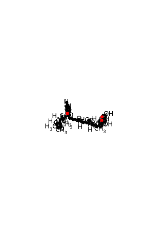 CC1=C(C)C(=O)C(C(C)(C)CC(=O)N(C)CCN(CCCCCC(=O)NCCCCC(NC(=O)CCC(C)[C@H]2CC[C@H]3[C@@H]4[C@H](O)C[C@@H]5C[C@H](O)CC[C@]5(C)[C@H]4CC[C@]23C)C(=O)O)C(=O)Oc2ccc3nc(C#N)sc3c2)=C(C)C1=O